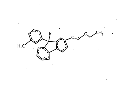 CCOCOc1ccc2c(c1)C(Br)(c1cccc(C)c1)c1ccccc1-2